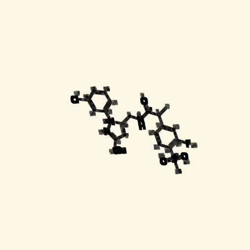 CC(C(=O)NCc1cc(C(C)(C)C)nn1-c1cccc(Cl)c1)c1ccc(S(C)(=O)=O)c(F)c1